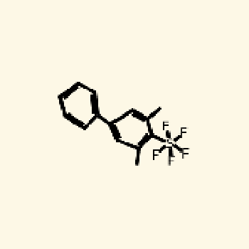 Cc1cc(-c2ccccc2)cc(C)c1S(F)(F)(F)(F)F